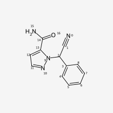 N#CC(c1ccccc1)n1nccc1C(N)=O